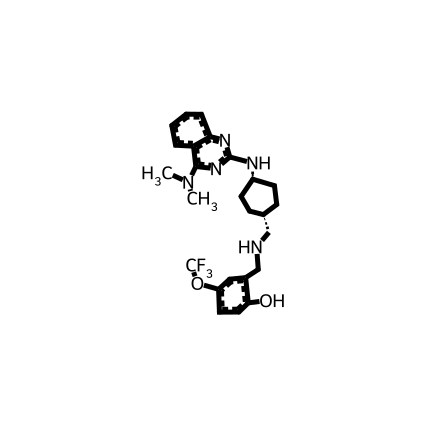 CN(C)c1nc(N[C@H]2CC[C@@H](CNCc3cc(OC(F)(F)F)ccc3O)CC2)nc2ccccc12